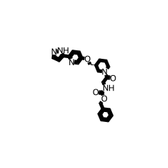 O=C(NCC(=O)N1CCC[C@@H](COc2ccc(-c3ccn[nH]3)nc2)C1)OCc1ccccc1